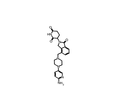 Nc1ccc(N2CCN(Cc3cccc4c3CN(C3CCC(=O)NC3=O)C4=O)CC2)cn1